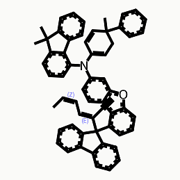 C#C/C(=C\C=C/C)C1(c2cccc3oc4cc(N(C5=CCC(C)(c6ccccc6)C=C5)c5cccc6c5-c5ccccc5C6(C)C)ccc4c23)c2ccccc2-c2ccccc21